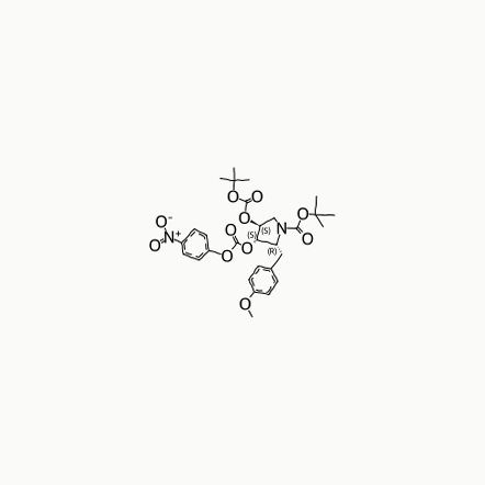 COc1ccc(C[C@@H]2[C@H](OC(=O)Oc3ccc([N+](=O)[O-])cc3)[C@@H](OC(=O)OC(C)(C)C)CN2C(=O)OC(C)(C)C)cc1